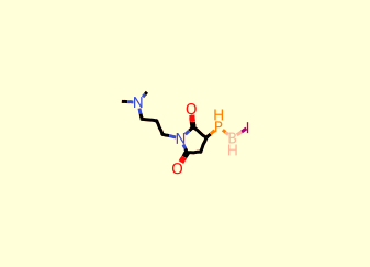 CN(C)CCCN1C(=O)CC(PBI)C1=O